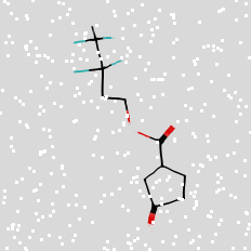 O=C1CCC(C(=O)OCCC(F)(F)C(F)(F)S(=O)(=O)O)C1